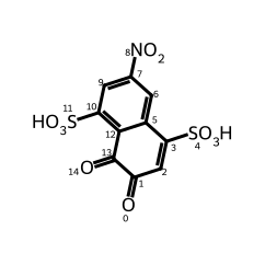 O=C1C=C(S(=O)(=O)O)c2cc([N+](=O)[O-])cc(S(=O)(=O)O)c2C1=O